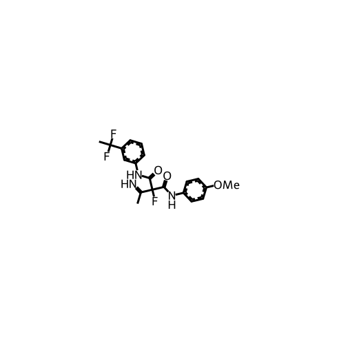 COc1ccc(NC(=O)C(F)(C(C)=N)C(=O)Nc2cccc(C(C)(F)F)c2)cc1